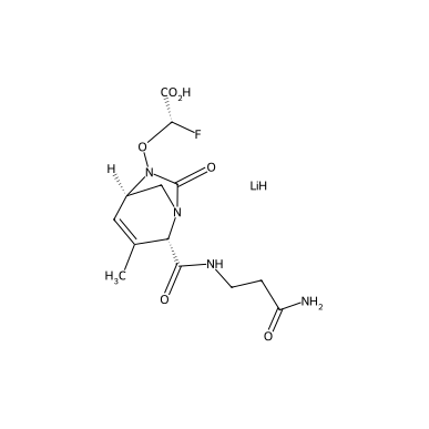 CC1=C[C@@H]2CN(C(=O)N2O[C@@H](F)C(=O)O)[C@@H]1C(=O)NCCC(N)=O.[LiH]